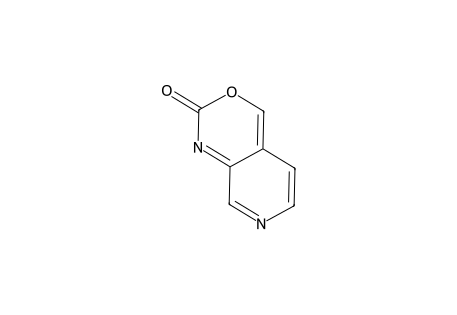 O=c1nc2cnccc2co1